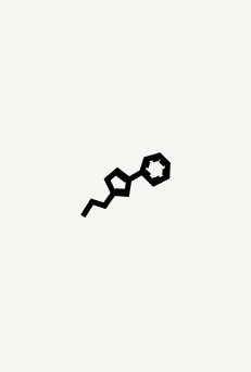 CCCC1=CC(c2ccccc2)=CC1